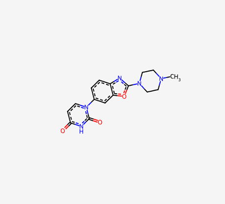 CN1CCN(c2nc3ccc(-n4ccc(=O)[nH]c4=O)cc3o2)CC1